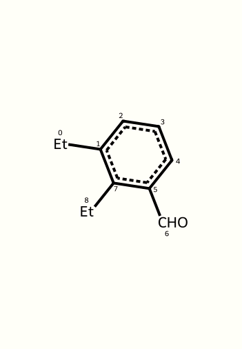 CCc1cccc(C=O)c1CC